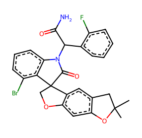 CC1(C)Cc2cc3c(cc2O1)OCC31C(=O)N(C(C(N)=O)c2ccccc2F)c2cccc(Br)c21